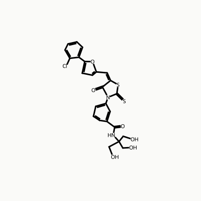 O=C(NC(CO)(CO)CO)c1cccc(N2C(=O)/C(=C\c3ccc(-c4ccccc4Cl)o3)SC2=S)c1